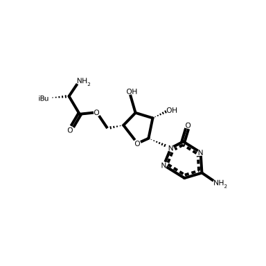 CC[C@@H](C)C(N)C(=O)OC[C@H]1O[C@@H](n2ncc(N)nc2=O)[C@@H](O)C1O